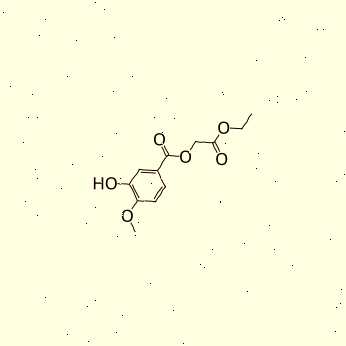 CCOC(=O)COC(=O)c1ccc(OC)c(O)c1